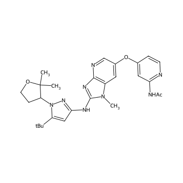 CC(=O)Nc1cc(Oc2cnc3nc(Nc4cc(C(C)(C)C)n(C5CCOC5(C)C)n4)n(C)c3c2)ccn1